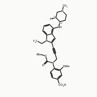 COc1cc(C(=O)O)ccc1N(CC#Cc1cc2c(N[C@@H]3CCN(C)C[C@@H]3F)cccc2n1CC(F)(F)F)C(=O)OC(C)(C)C